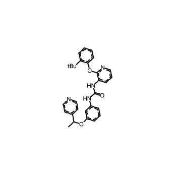 CC(Oc1cccc(NC(=O)Nc2cccnc2Oc2ccccc2C(C)(C)C)c1)c1ccncc1